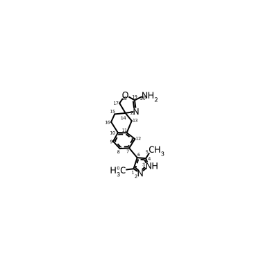 Cc1n[nH]c(C)c1-c1ccc2c(c1)CC1(CC2)COC(N)=N1